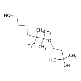 CC(C)(O)CCOC(C)(C)C(C)(C)CCCCO